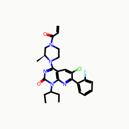 C=CC(=O)N1CCN(c2nc(=O)n(C(CC)CC)c3nc(-c4ccccc4F)c(Cl)cc23)[C@@H](C)C1